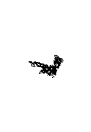 C=CC(=O)N1CCn2nc(-c3nc(N4CCC5(CC4)CS(=O)(=O)C5)c4ccsc4c3-c3ccc(F)cc3OC(C)C)cc2C1